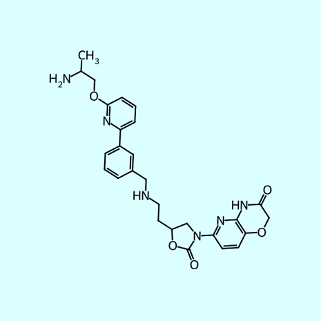 CC(N)COc1cccc(-c2cccc(CNCCC3CN(c4ccc5c(n4)NC(=O)CO5)C(=O)O3)c2)n1